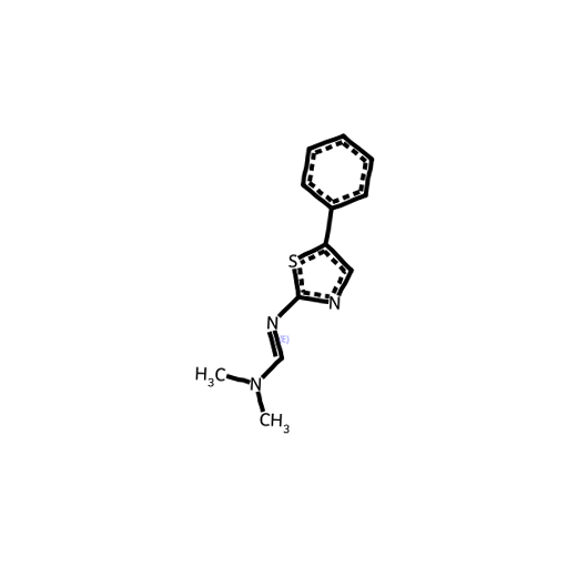 CN(C)/C=N/c1ncc(-c2ccccc2)s1